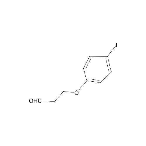 O=CCCOc1ccc(I)cc1